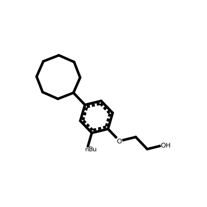 CCCCc1cc(C2CCCCCCC2)ccc1OCCO